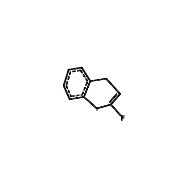 FC1=CCc2ccccc2[CH]1